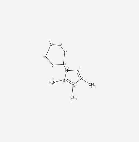 Cc1nn(C2CCOCC2)c(N)c1C